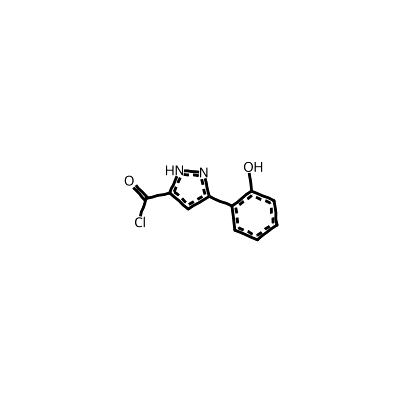 O=C(Cl)c1cc(-c2ccccc2O)n[nH]1